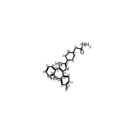 NC(=O)CC1CCC(c2nc3c([nH]2)-c2cccnc2Nc2cc(F)ccc2-3)CC1